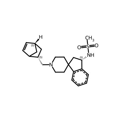 CS(=O)(=O)N[C@H]1CC2(CCN(C[C@H]3C[C@H]4C=CC3C4)CC2)c2ccccc21